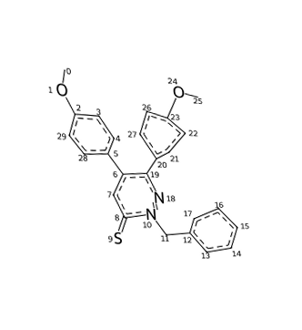 COc1ccc(-c2cc(=S)n(Cc3ccccc3)nc2-c2ccc(OC)cc2)cc1